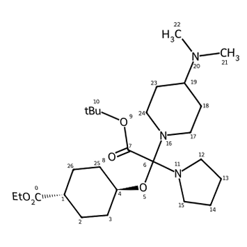 CCOC(=O)[C@H]1CC[C@H](OC(C(=O)OC(C)(C)C)(N2CCCC2)N2CCC(N(C)C)CC2)CC1